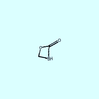 O=C1BCO1